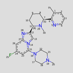 Cc1cccnc1[C@@H]1CCC[C@H](c2cn3c(N4CCN(C)CC4)cc(F)cc3n2)N1C